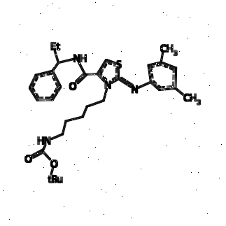 CCC(NC(=O)c1csc(=Nc2cc(C)cc(C)c2)n1CCCCCNC(=O)OC(C)(C)C)c1ccccc1